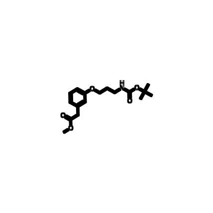 COC(=O)Cc1cccc(OCCCNC(=O)OC(C)(C)C)c1